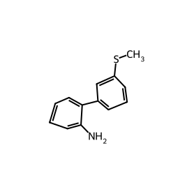 CSc1cccc(-c2ccccc2N)c1